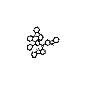 c1ccc(-c2cc(N(c3ccc4c(c3)sc3ccccc34)c3cccc4c3oc3ccccc34)ccc2-c2ccccc2-n2c3ccccc3c3ccccc32)cc1